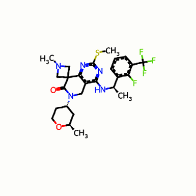 CSc1nc(N[C@H](C)c2cccc(C(F)(F)F)c2F)c2c(n1)C1(CN(C)C1)C(=O)N([C@H]1CCO[C@H](C)C1)C2